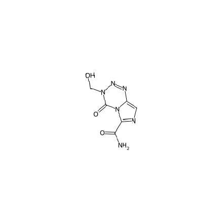 NC(=O)c1ncc2nnn(CO)c(=O)n12